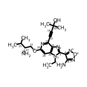 CCn1c(-c2nonc2N)nc2c(C#CC(C)(C)O)nc(OC[C@H](N)C(C)C)cc21